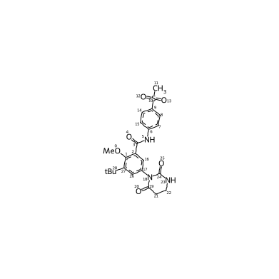 COc1c(C(=O)Nc2ccc(S(C)(=O)=O)cc2)cc(N2C(=O)CCNC2=O)cc1C(C)(C)C